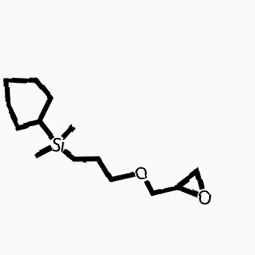 C[Si](C)(CCCOCC1CO1)C1CCCCC1